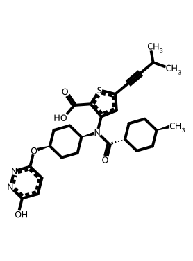 CC(C)C#Cc1cc(N(C(=O)[C@H]2CC[C@H](C)CC2)[C@H]2CC[C@@H](Oc3ccc(O)nn3)CC2)c(C(=O)O)s1